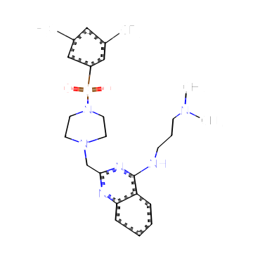 CN(C)CCCNc1nc(CN2CCN(S(=O)(=O)c3cc(C(F)(F)F)cc(C(F)(F)F)c3)CC2)nc2ccccc12